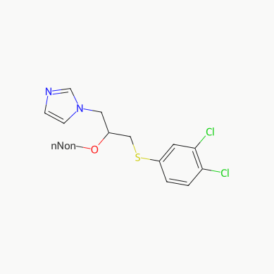 CCCCCCCCCOC(CSc1ccc(Cl)c(Cl)c1)Cn1ccnc1